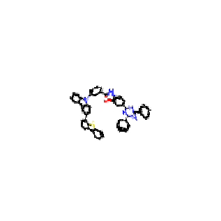 c1ccc(-c2nc(-c3ccccc3)nc(-c3ccc4nc(-c5cccc(-n6c7ccccc7c7cc(-c8cccc9c8sc8ccccc89)ccc76)c5)oc4c3)n2)cc1